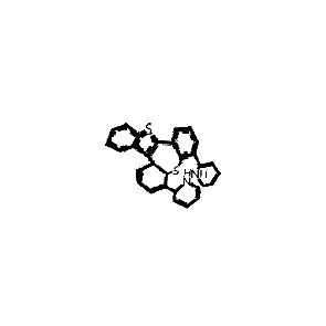 C1=CCNC(c2cccc3c2SC2C(C4C=CC=CN4)=CC=CC2c2c-3sc3ccccc23)=C1